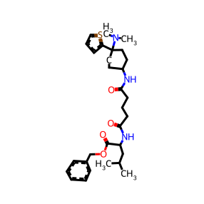 CC(C)CC(NC(=O)CCCC(=O)NC1CCC(c2cccs2)(N(C)C)CC1)C(=O)OCc1ccccc1